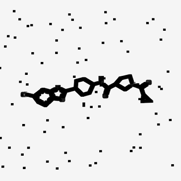 O=C(NC1CCC(c2nc3cc(Cl)ccc3o2)CC1)C1CCN(C(=O)C2CC2)C1